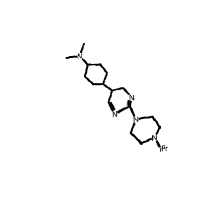 CC(C)N1CCN(C2=NCC(C3CCC(N(C)C)CC3)C=N2)CC1